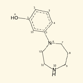 Oc1cccc(N2CCCNCC2)c1